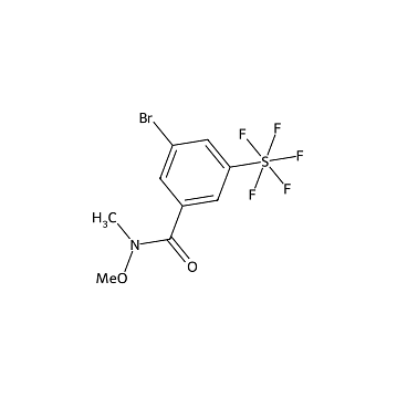 CON(C)C(=O)c1cc(Br)cc(S(F)(F)(F)(F)F)c1